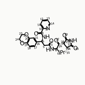 CC(C)[C@@H](NC(=O)CC(NC(=O)c1ccccn1)c1ccc2c(c1)OCCO2)C(=O)[C@@H]1C(=O)NC(=O)[C@@H]1C